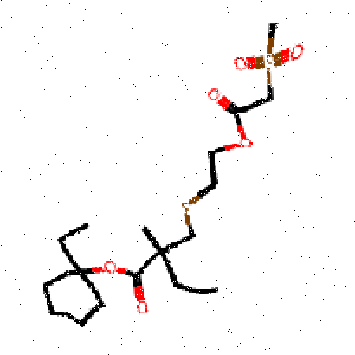 CCC1(OC(=O)C(C)(CC)CSCCOC(=O)CS(C)(=O)=O)CCCC1